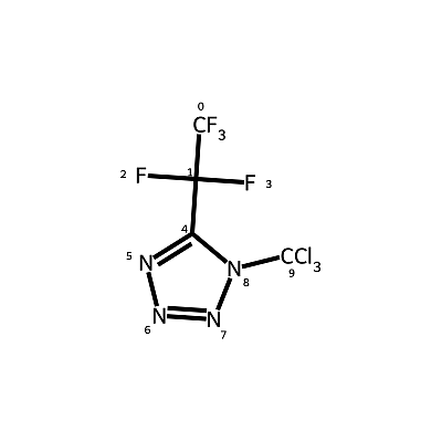 FC(F)(F)C(F)(F)c1nnnn1C(Cl)(Cl)Cl